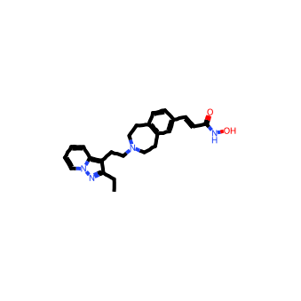 CCc1nn2ccccc2c1CCN1CCc2ccc(C=CC(=O)NO)cc2CC1